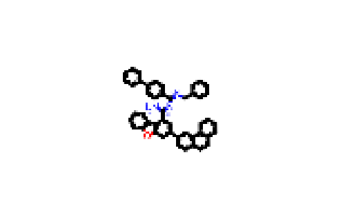 N/C(=N\C(=N/Cc1ccccc1)c1ccc(-c2ccccc2)cc1)c1cc(-c2ccc3ccc4ccccc4c3c2)cc2oc3ccccc3c12